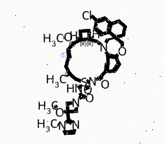 CO[C@H]1/C=C/C[C@H](C)CS(=O)(NC(=O)N2CC(OC)(c3nccn3C)C2)=NC(=O)c2ccc3c(c2)N(C[C@@H]2CC[C@H]21)C[C@@]1(CCCc2cc(Cl)ccc21)CO3